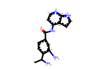 CC(N)c1ccc(C(=O)Nc2ccnc3[nH]ccc23)cc1N